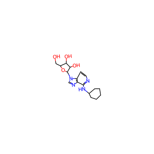 OCC1OC(n2cnc3c(NC4CCCCC4)nccc32)C(O)C1O